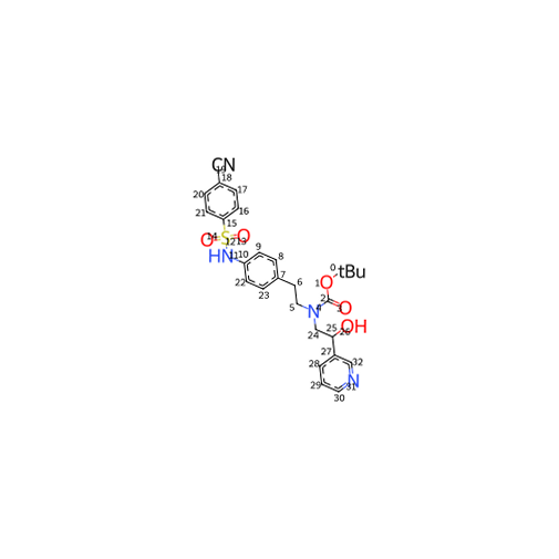 CC(C)(C)OC(=O)N(CCc1ccc(NS(=O)(=O)c2ccc(C#N)cc2)cc1)CC(O)c1cccnc1